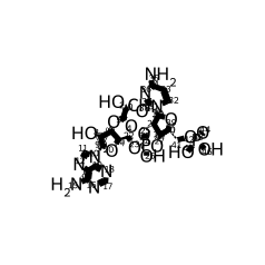 CC(O)C(=O)O[C@H]1[C@@H](O)[C@H](n2cnc3c(N)ncnc32)O[C@@H]1COP(=O)(O)O[C@H]1C[C@H](n2ccc(N)nc2=O)O[C@@H]1COP(=O)(O)O